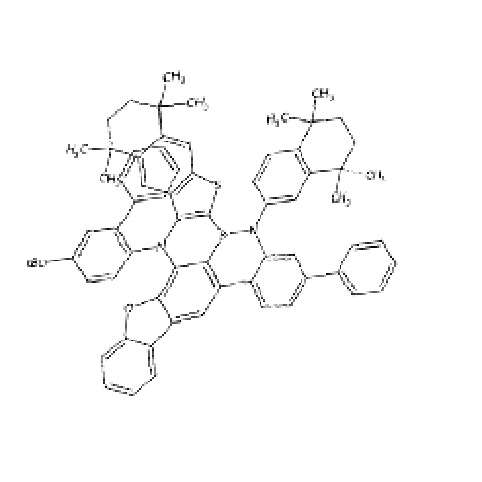 CC(C)(C)c1ccc(N2c3c(sc4cc5c(cc34)C(C)(C)CCC5(C)C)B3c4c(cc5c(oc6ccccc65)c42)-c2ccc(-c4ccccc4)cc2N3c2ccc3c(c2)C(C)(C)CCC3(C)C)c(-c2ccccc2)c1